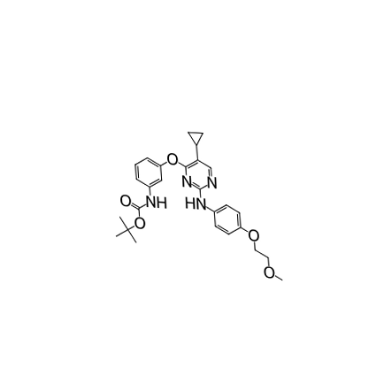 COCCOc1ccc(Nc2ncc(C3CC3)c(Oc3cccc(NC(=O)OC(C)(C)C)c3)n2)cc1